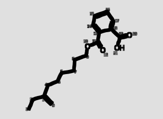 C=C(CC)CCCCCCOC(=O)c1ccccc1C(=O)O